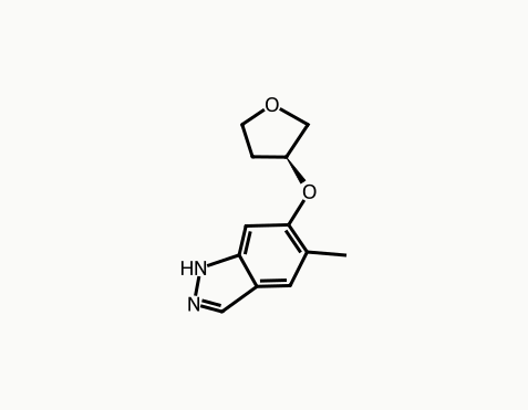 Cc1cc2cn[nH]c2cc1O[C@H]1CCOC1